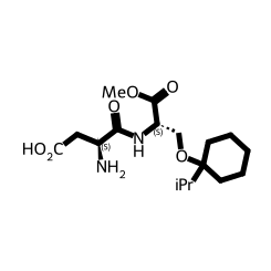 COC(=O)[C@H](COC1(C(C)C)CCCCC1)NC(=O)[C@@H](N)CC(=O)O